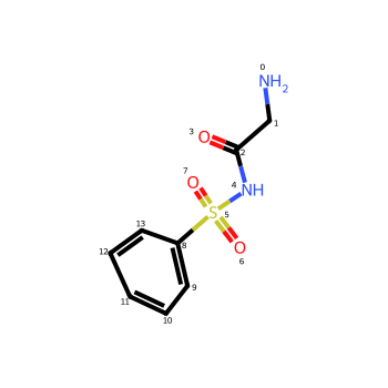 NCC(=O)NS(=O)(=O)c1ccccc1